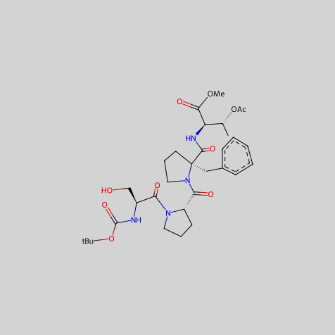 COC(=O)[C@H](NC(=O)[C@]1(Cc2ccccc2)CCCN1C(=O)[C@@H]1CCCN1C(=O)[C@H](CO)NC(=O)OC(C)(C)C)[C@@H](C)OC(C)=O